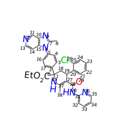 CCOC(=O)C1(c2ccc(-n3c(C)nc4cnccc43)cc2)CC(c2ccccc2Cl)C(C(=O)Nc2ccccn2)=C(C)N1